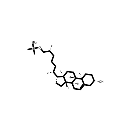 C[C@H](CCC[C@@H](C)[C@H]1CC[C@H]2[C@@H]3CC=C4C[C@@H](O)CC[C@]4(C)[C@H]3CC[C@]12C)CO[Si](C)(C)C(C)(C)C